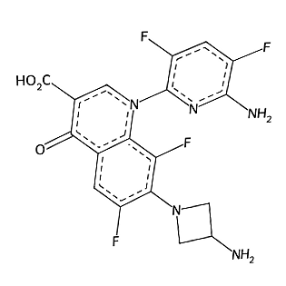 Nc1nc(-n2cc(C(=O)O)c(=O)c3cc(F)c(N4CC(N)C4)c(F)c32)c(F)cc1F